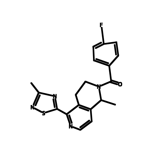 Cc1nsc(-c2nccc3c2CCN(C(=O)c2ccc(F)cc2)C3C)n1